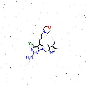 Cc1cnc(Cn2cc(CCCN3CCOCC3)c3c(Cl)nc(N)nc32)c(C)c1I